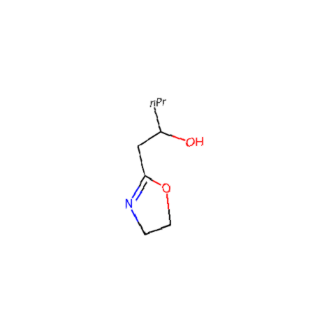 CCCC(O)CC1=NCCO1